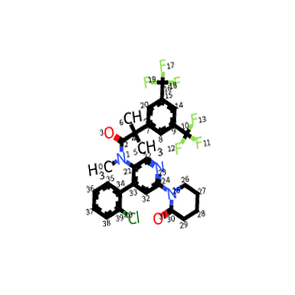 CN(C(=O)C(C)(C)c1cc(C(F)(F)F)cc(C(F)(F)F)c1)c1cnc(N2CCCCC2=O)cc1-c1ccccc1Cl